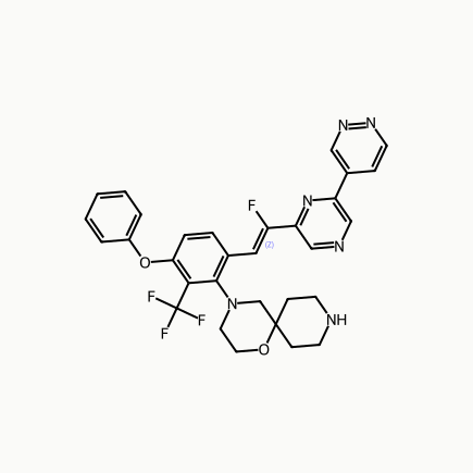 F/C(=C\c1ccc(Oc2ccccc2)c(C(F)(F)F)c1N1CCOC2(CCNCC2)C1)c1cncc(-c2ccnnc2)n1